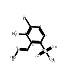 Cc1c(Cl)ccc(S(C)(=O)=O)c1C=NO